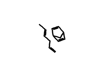 C1=CC2C=CC1C2.C=CCC=CC